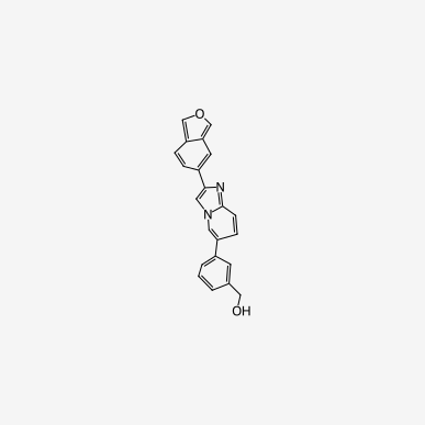 OCc1cccc(-c2ccc3nc(-c4ccc5cocc5c4)cn3c2)c1